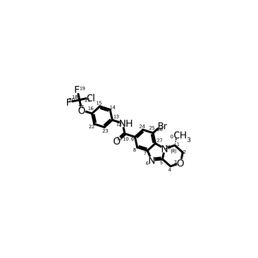 C[C@@H]1COCc2nc3cc(C(=O)Nc4ccc(OC(F)(F)Cl)cc4)cc(Br)c3n21